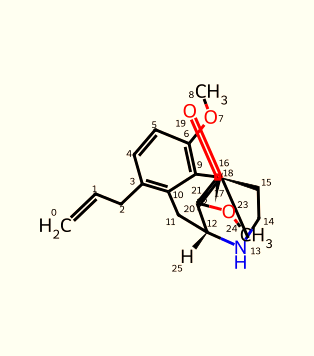 C=CCc1ccc(OC)c2c1C[C@H]1NCC[C@@]23CC(=O)CCC13OC